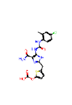 Cc1cc(Cl)ccc1NC(=O)Nc1[nH]c(Cc2ccc(OC(=O)O)s2)nc1C(N)=O